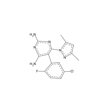 Cc1cc(C)n(-c2nc(N)nc(N)c2-c2cc(Cl)ccc2F)n1